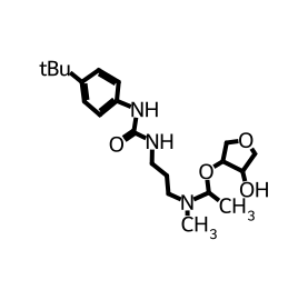 CC(OC1COCC1O)N(C)CCCNC(=O)Nc1ccc(C(C)(C)C)cc1